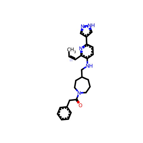 C/C=C\c1nc(-c2cn[nH]c2)ccc1NCC1CCCN(C(=O)Cc2ccccc2)CC1